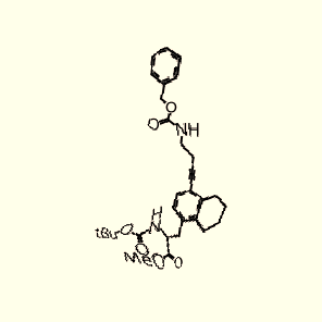 COC(=O)[C@H](Cc1ccc(C#CCCNC(=O)OCc2ccccc2)c2c1CCCC2)NC(=O)OC(C)(C)C